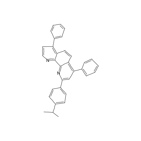 CC(C)c1ccc(-c2cc(-c3ccccc3)c3ccc4c(-c5ccccc5)ccnc4c3n2)cc1